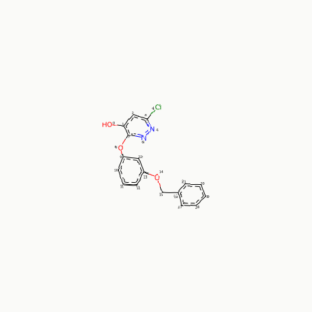 Oc1cc(Cl)nnc1Oc1cccc(OCc2ccccc2)c1